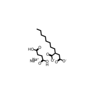 CCCCCCCCC(CC(=O)[O-])C(=O)[O-].O=C(O)CCC(=O)O.[Na+].[Na+]